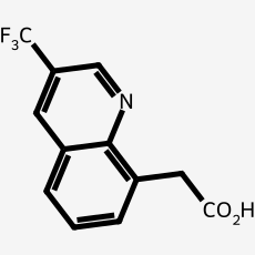 O=C(O)Cc1cccc2cc(C(F)(F)F)cnc12